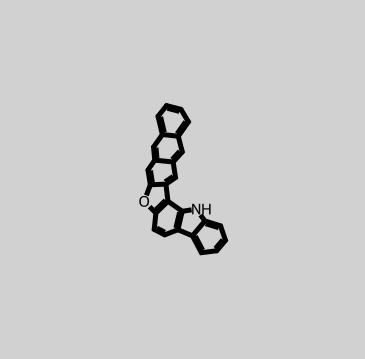 c1ccc2cc3cc4c(cc3cc2c1)oc1ccc2c3ccccc3[nH]c2c14